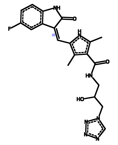 Cc1[nH]c(/C=C2\C(=O)Nc3ccc(F)cc32)c(C)c1C(=O)NCC(O)Cn1cnnn1